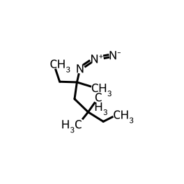 CCC(C)(C)CC(C)(CC)N=[N+]=[N-]